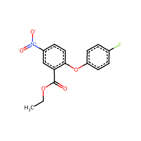 CCOC(=O)c1cc([N+](=O)[O-])ccc1Oc1ccc(F)cc1